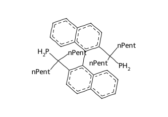 CCCCCC(P)(CCCCC)c1ccc2ccccc2c1-c1c(C(P)(CCCCC)CCCCC)ccc2ccccc12